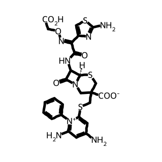 Nc1cc(N)[n+](-c2ccccc2)c(SCC2(C(=O)[O-])CS[C@@H]3C(NC(=O)C(=NOCC(=O)O)c4csc(N)n4)C(=O)N3C2)c1